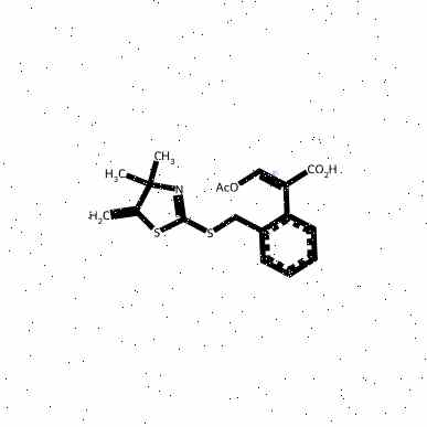 C=C1SC(SCc2ccccc2/C(=C\OC(C)=O)C(=O)O)=NC1(C)C